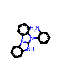 Nc1ccccc1N1c2ccccc2N2c3ccccc3NC12